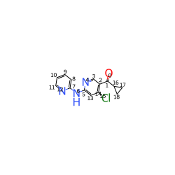 O=C(c1cnc(Nc2ccccn2)cc1Cl)C1CC1